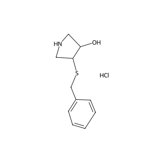 Cl.OC1CNCC1SCc1ccccc1